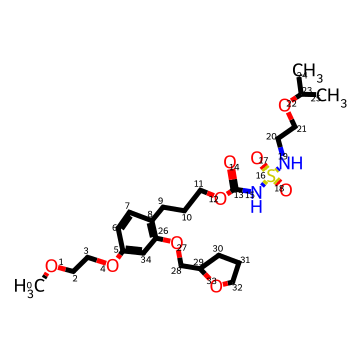 COCCOc1ccc(CCCOC(=O)NS(=O)(=O)NCCOC(C)C)c(OCC2CCCO2)c1